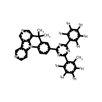 [2H]c1c([2H])c([2H])c(-c2nc(-c3ccc4c(c3)C(C)(C)c3cncc5c6cnccc6n-4c35)nc(-c3c([2H])c([2H])c([2H])c([2H])c3C)n2)c([2H])c1[2H]